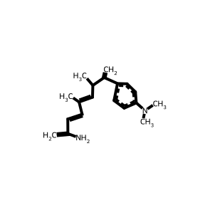 C=C(N)/C=C/C(C)=C/C(C)C(=C)c1ccc(N(C)C)cc1